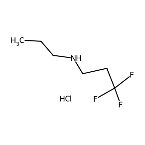 CCCNCCC(F)(F)F.Cl